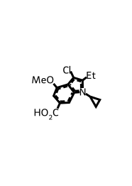 CCc1c(Cl)c2c(OC)cc(C(=O)O)cc2n1C1CC1